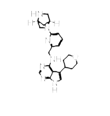 c1cc(CNc2ncnc3[nH]cc(C4CCOCC4)c23)nc(N2C[C@H]3C[C@@H]2CN3)c1